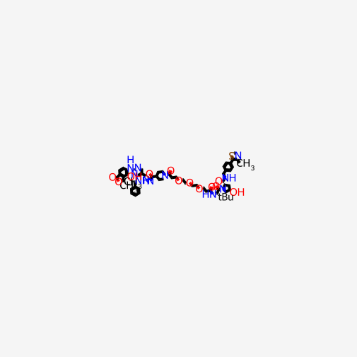 Cc1ncsc1-c1ccc(CNC(=O)[C@@H]2C[C@@H](O)CN2C(=O)[C@@H](NC(=O)CCOCCOCCOCCC(=O)N2CCC(c3nnc(-c4cnc(Nc5ccc6c(c5)C(C)(C)OC6=O)nc4N[C@H](CO)c4ccccc4)o3)CC2)C(C)(C)C)cc1